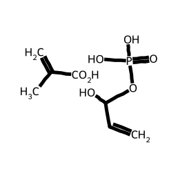 C=C(C)C(=O)O.C=CC(O)OP(=O)(O)O